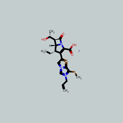 C=CCn1c[n+]2cc(C3=C(C(=O)O)N4C(=O)[C@H]([C@@H](C)O)[C@H]4[C@H]3CC)sc2c1SC.[I-]